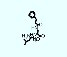 CC(C)C[C@H](N)C(=O)NC(CNC(=O)CCc1ccccc1)C(=O)O